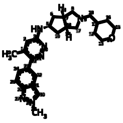 Cc1cc(N[C@@H]2C[C@@H]3CN(CC4CCOCC4)C[C@@H]3C2)nnc1-c1ccc2nn(C)cc2c1